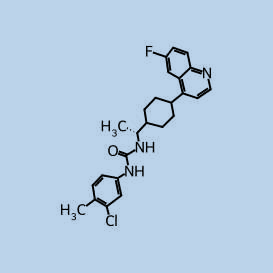 Cc1ccc(NC(=O)N[C@H](C)C2CCC(c3ccnc4ccc(F)cc34)CC2)cc1Cl